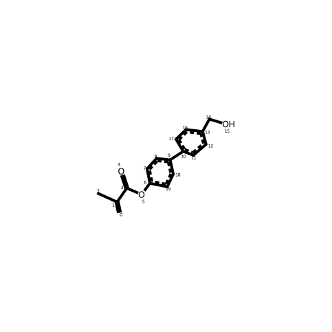 C=C(C)C(=O)Oc1ccc(-c2ccc(CO)cc2)cc1